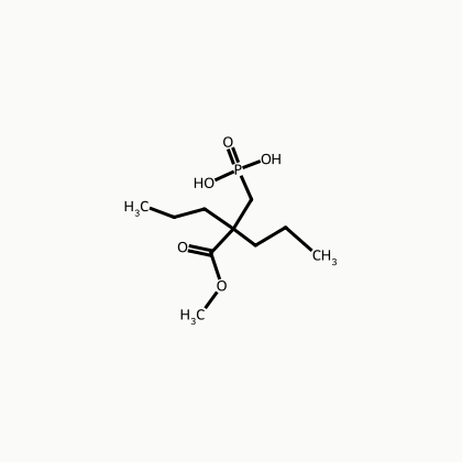 CCCC(CCC)(CP(=O)(O)O)C(=O)OC